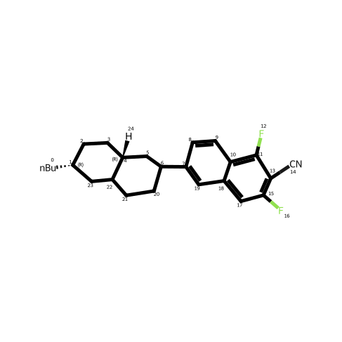 CCCC[C@@H]1CC[C@@H]2CC(c3ccc4c(F)c(C#N)c(F)cc4c3)CCC2C1